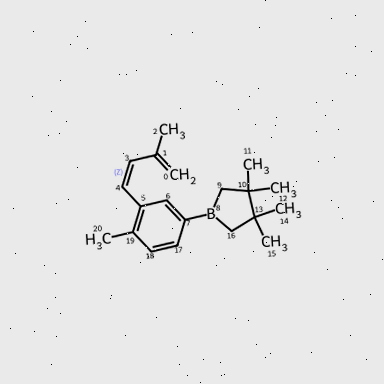 C=C(C)/C=C\c1cc(B2CC(C)(C)C(C)(C)C2)ccc1C